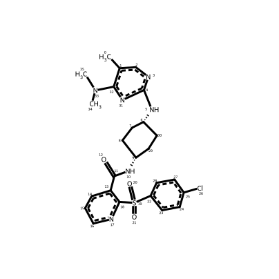 Cc1cnc(N[C@H]2CC[C@@H](NC(=O)c3cccnc3S(=O)(=O)c3ccc(Cl)cc3)CC2)nc1N(C)C